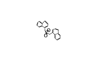 O=S(=O)(Cc1cccc2ccccc12)Cc1cccc2ccccc12